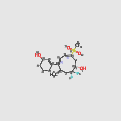 C=C1CC(F)(F)[C@@H](O)C/C(S(=O)(=O)C(F)(F)F)=C\C=C/1C1=CC(O)CCC1